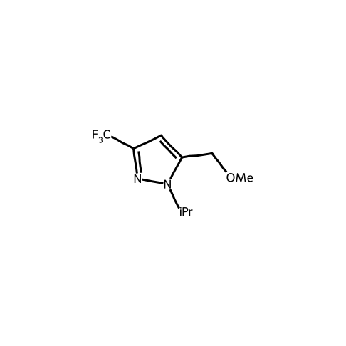 COCc1cc(C(F)(F)F)nn1C(C)C